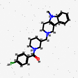 Cn1c2c(c3ccccc31)CN(CC1CCCN(C(=O)c3ccc(F)cc3)C1)CC2